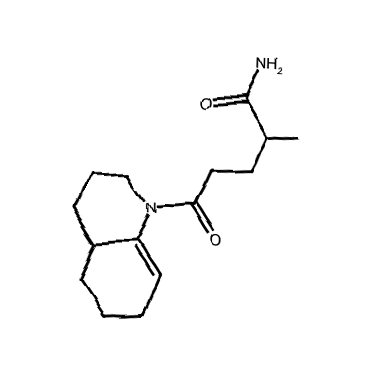 CC(CCC(=O)N1CCCC2CCCC=C21)C(N)=O